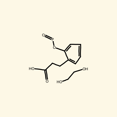 O=POc1ccccc1CCC(=O)O.OCCO